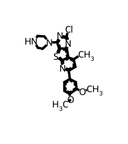 COc1ccc(-c2cc(C)c3c(n2)sc2c(N4CCNCC4)nc(Cl)nc23)cc1OC